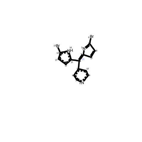 BrC1=N/C(=C(/c2ccncc2)c2ccc(Br)[nH]2)C=C1